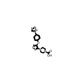 O=C(O)N1CCN(c2nsnc2Oc2ccc(-n3cnnn3)cc2)CC1